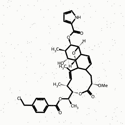 CO[C@H]1CC2C=CC3[C@H]4O[C@]2(/C(C)=C/[C@@H](C)[C@@H]([C@@H](C)OC(=O)c2ccc(CCl)cc2)OC1=O)[C@@H]3[C@H](O)[C@@H](C)[C@H]4OC(=O)c1ccc[nH]1